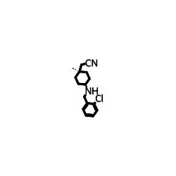 C[C@]1(CC#N)CC[C@@H](NCc2ccccc2Cl)CC1